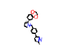 Cc1ccc(-c2ccc(CN3CCC[C@H]3c3ccc4c(c3)OCCO4)cc2)cn1